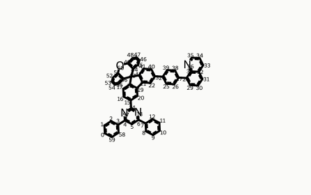 c1ccc(-c2cc(-c3ccccc3)nc(-c3ccc4c(c3)-c3cc(-c5ccc(-c6cccc7cccnc67)cc5)ccc3C43c4ccccc4Oc4ccccc43)n2)cc1